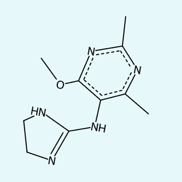 COc1nc(C)nc(C)c1NC1=NCCN1